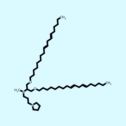 CCCCCC=CCC=CCCCCCCCCOCC(COCCCCCCCCC=CCC=CCCCCC)N(C)CCCN1CCCC1